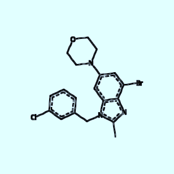 Cc1nc2c(Br)cc(N3CCOCC3)cc2n1Cc1cccc(Cl)c1